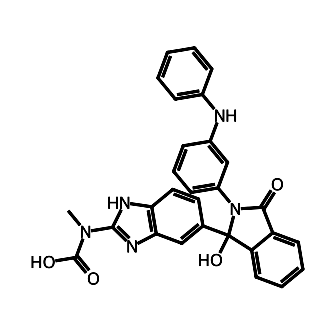 CN(C(=O)O)c1nc2cc(C3(O)c4ccccc4C(=O)N3c3cccc(Nc4ccccc4)c3)ccc2[nH]1